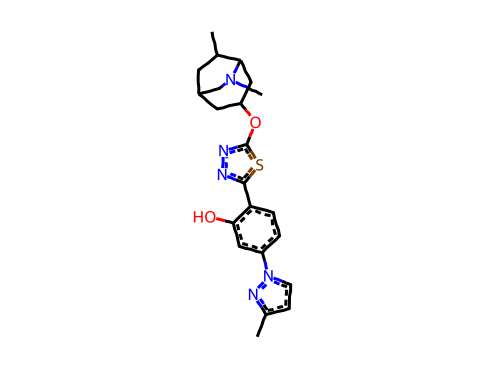 Cc1ccn(-c2ccc(-c3nnc(OC4CC5CC(C)C(C4)N(C)C5)s3)c(O)c2)n1